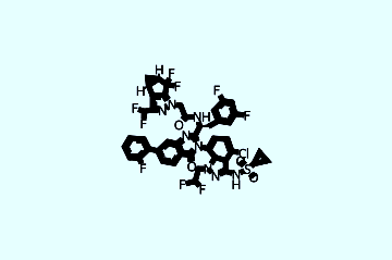 O=C(Cn1nc(C(F)F)c2c1C(F)(F)[C@@H]1C[C@H]21)N[C@@H](Cc1cc(F)cc(F)c1)c1nc2cc(-c3ccccc3F)ccc2c(=O)n1C1=CC=C(Cl)C2C(NS(=O)(=O)C3CC3)=NN(CC(F)F)C12